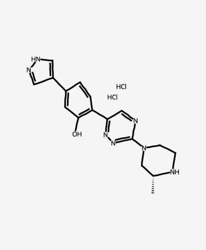 C[C@@H]1CN(c2ncc(-c3ccc(-c4cn[nH]c4)cc3O)nn2)CCN1.Cl.Cl